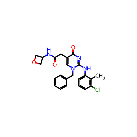 Cc1c(Cl)cccc1Nc1nc(=O)c(CC(=O)NC2COC2)cn1Cc1ccccc1